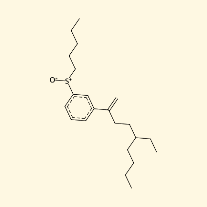 C=C(CCC(CC)CCCC)c1cccc([S+]([O-])CCCCC)c1